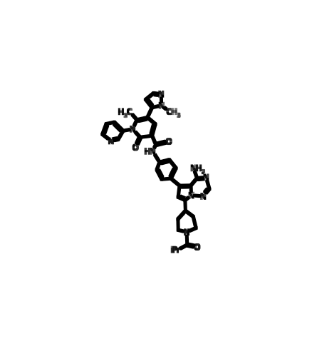 Cc1c(-c2ccnn2C)cc(C(=O)Nc2ccc(-c3cc(C4CCN(C(=O)C(C)C)CC4)n4ncnc(N)c34)cc2)c(=O)n1-c1cccnc1